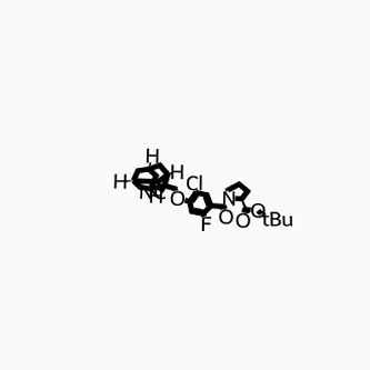 CC(C)(C)OC(=O)[C@@H]1CCCN1C(=O)c1cc(Cl)c(OCC2(C#N)[C@H]3C[C@H]4C[C@H](C3)C[C@H]2C4)cc1F